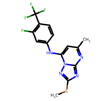 CSc1nc2nc(C)cc(Nc3ccc(C(F)(F)F)c(F)c3)n2n1